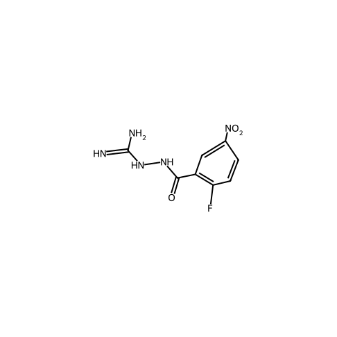 N=C(N)NNC(=O)c1cc([N+](=O)[O-])ccc1F